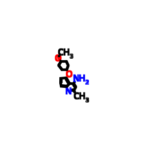 CO[C@H]1CC[C@@H](Oc2cccc3nc(C)cc(N)c23)CC1